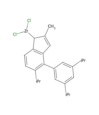 CC1=Cc2c(ccc(C(C)C)c2-c2cc(C(C)C)cc(C(C)C)c2)[CH]1[Zr]([Cl])[Cl]